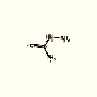 NNC(=O)P